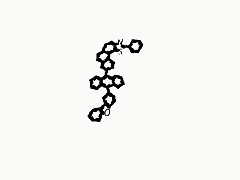 c1ccc(-c2nc3ccc4ccc5cc(-c6c7ccccc7c(-c7ccc8oc9ccccc9c8c7)c7ccccc67)ccc5c4c3s2)cc1